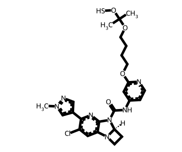 Cn1cc(-c2nc3c(cc2Cl)N2CC[C@@H]2N3C(=O)Nc2ccnc(OCCCCOC(C)(C)OS)c2)cn1